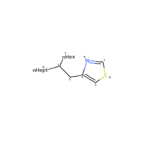 CCCCCCCC(CCCCCC)Cc1cscn1